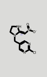 O=[N+]([O-])/C=C1\NCCN1Cc1cnc(Cl)nc1